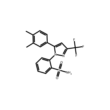 Cc1ccc(-c2cc(C(F)(F)F)nn2-c2ccccc2S(N)(=O)=O)cc1C